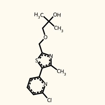 Cc1nc(COCC(C)(C)O)sc1-c1cccc(Cl)n1